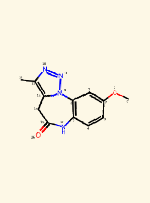 COc1ccc2c(c1)-n1nnc(C)c1CC(=O)N2